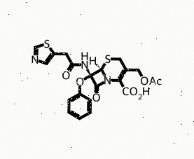 CC(=O)OCC1=C(C(=O)O)N2C(=O)[C@](NC(=O)Cc3cncs3)(Oc3ccccc3)[C@H]2SC1